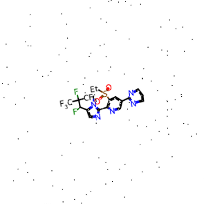 CCS(=O)(=O)c1cc(-c2ncccn2)cnc1-c1ncc([C@@H](F)C(F)(C(F)(F)F)C(F)(F)F)n1C